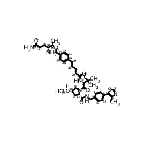 Cc1ncsc1-c1ccc(CNC(=O)[C@@H]2C[C@H](O)CN2C(=O)[C@@H](NC(=O)CCCCc2ccc(CO[C@H](C)[C@@H](N)CCC(N)=O)cc2)C(C)(C)C)cc1.Cl